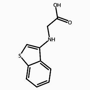 O=C(O)CNc1csc2ccccc12